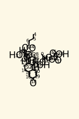 CC(=O)O.CCCC1O[C@@H]2C[C@H]3[C@@H]4CCC5=CC(=O)C=C[C@]5(C)[C@H]4[C@@H](O)C[C@]3(C)[C@]2(C(=O)CO)O1.O=S(=O)(O)O